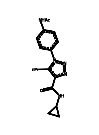 CCCc1c(C(=O)NC2CC2)nnn1-c1ccc(NC(C)=O)cc1